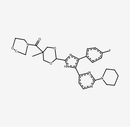 CC1(C(=O)N2CCOCC2)COC(c2nc(-c3ccc(F)cc3)c(-c3ccnc(N4CCCCC4)n3)[nH]2)OC1